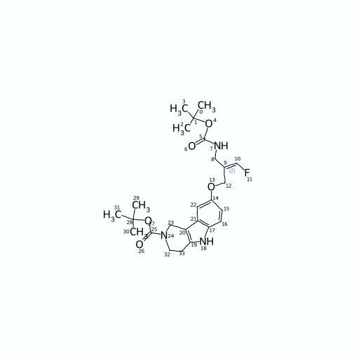 CC(C)(C)OC(=O)NC/C(=C/F)COc1ccc2[nH]c3c(c2c1)CN(C(=O)OC(C)(C)C)CC3